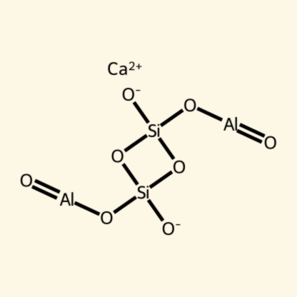 [Ca+2].[O]=[Al][O][Si]1([O-])O[Si]([O-])([O][Al]=[O])O1